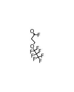 O=C(F)CCOC(F)(F)C(F)(F)C(F)(F)F